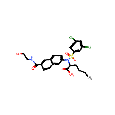 CCCCC(C(=O)O)N(c1ccc2cc(C(=O)NCCO)ccc2c1)S(=O)(=O)c1cc(Cl)cc(Cl)c1